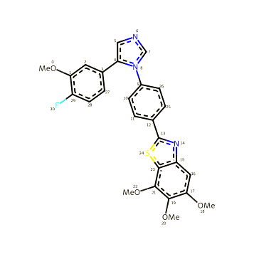 COc1cc(-c2cncn2-c2ccc(-c3nc4cc(OC)c(OC)c(OC)c4s3)cc2)ccc1F